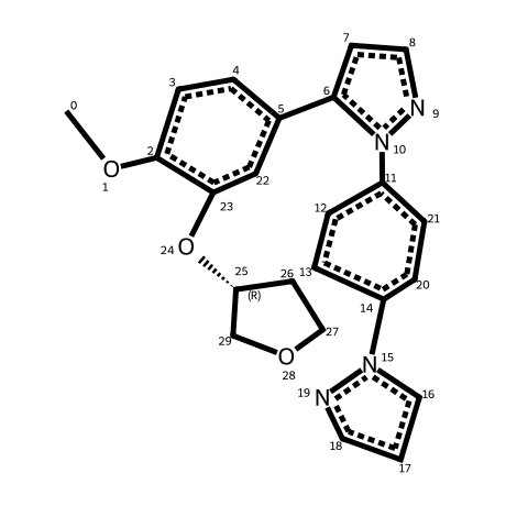 COc1ccc(-c2ccnn2-c2ccc(-n3cccn3)cc2)cc1O[C@@H]1CCOC1